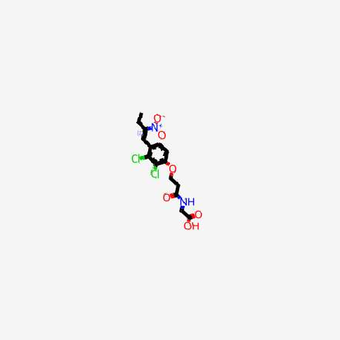 CC/C(=C/c1ccc(OCCC(=O)NCC(=O)O)c(Cl)c1Cl)[N+](=O)[O-]